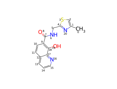 Cc1csc(CNC(=O)c2ccc3cccnc3c2O)n1